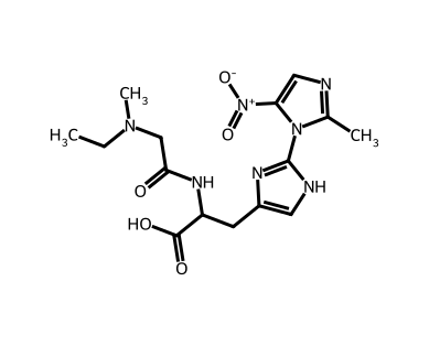 CCN(C)CC(=O)NC(Cc1c[nH]c(-n2c([N+](=O)[O-])cnc2C)n1)C(=O)O